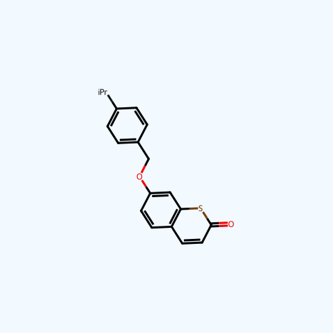 CC(C)c1ccc(COc2ccc3ccc(=O)sc3c2)cc1